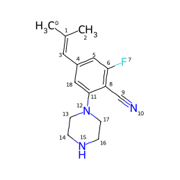 CC(C)=Cc1cc(F)c(C#N)c(N2CCNCC2)c1